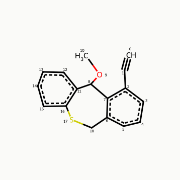 C#Cc1cccc2c1C(OC)c1ccccc1SC2